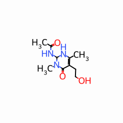 CC(=O)NC1NC(C)=C(CCO)C(=O)N1C